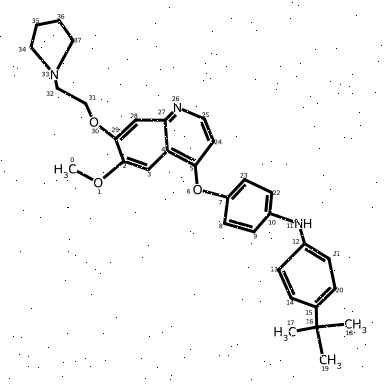 COc1cc2c(Oc3ccc(Nc4ccc(C(C)(C)C)cc4)cc3)ccnc2cc1OCCN1CCCC1